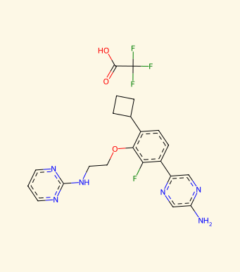 Nc1cnc(-c2ccc(C3CCC3)c(OCCNc3ncccn3)c2F)cn1.O=C(O)C(F)(F)F